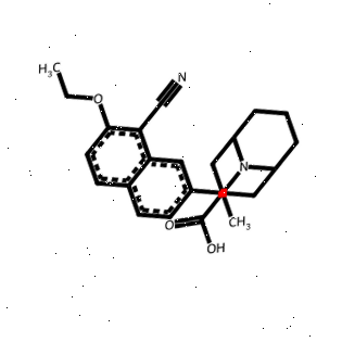 CCOc1ccc2ccc(C(C)N3C4CCCC3CC(C(=O)O)C4)cc2c1C#N